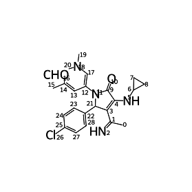 CC(=N)C1=C(NC2CC2)C(=O)N(C(/C=C(/C)C=O)=C/N(C)C)C1c1ccc(Cl)cc1